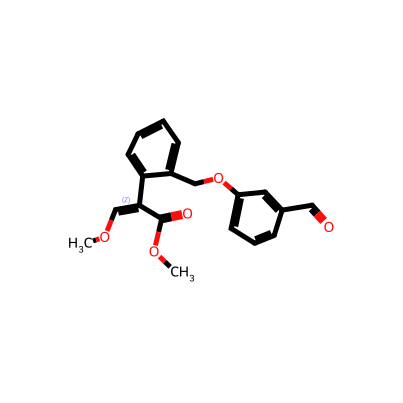 CO/C=C(\C(=O)OC)c1ccccc1COc1cccc(C=O)c1